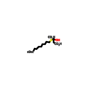 CCCCCCCCCCCCCCCCCCSC(O)(CC(=O)O)C(=O)O